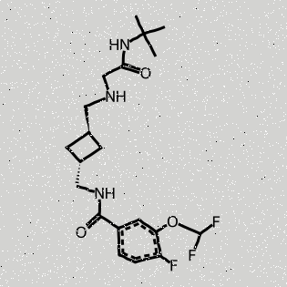 CC(C)(C)NC(=O)CNC[C@H]1C[C@H](CNC(=O)c2ccc(F)c(OC(F)F)c2)C1